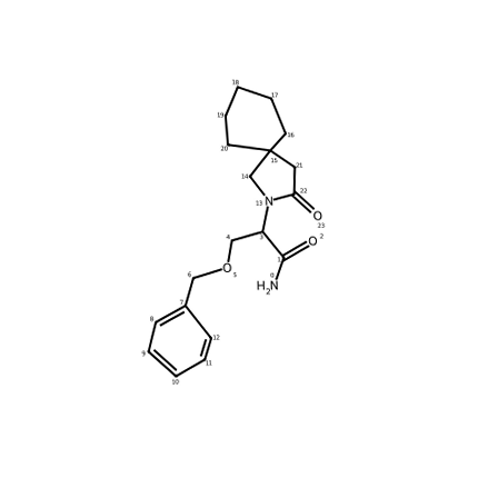 NC(=O)C(COCc1ccccc1)N1CC2(CCCCC2)CC1=O